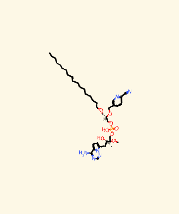 CCCCCCCCCCCCCCCCCCOC[C@@H](COP(=O)(O)OC[C@@](C)(OC)[C@@H](O)Cc1ccc2c(N)ncnn12)OCc1ccc(C#N)nc1